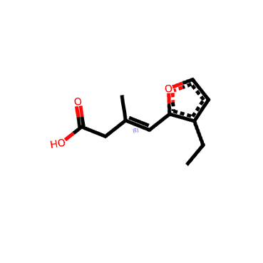 CCc1ccoc1/C=C(\C)CC(=O)O